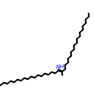 CCCCCCCCCCCCCCCCCCC(C)=C(N)CCCCCCCCCCCCCCCCCC